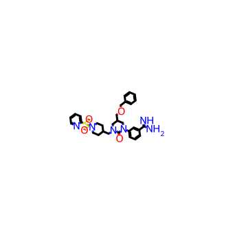 N=C(N)c1cccc(N2CC(COCc3ccccc3)CN(CC3CCN(S(=O)(=O)c4ccccn4)CC3)C2=O)c1